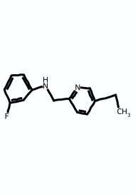 CCc1ccc(CNc2cccc(F)c2)nc1